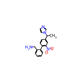 CC(c1ccc(-c2ccccc2CN)c([N+](=O)[O-])c1)n1ccnc1